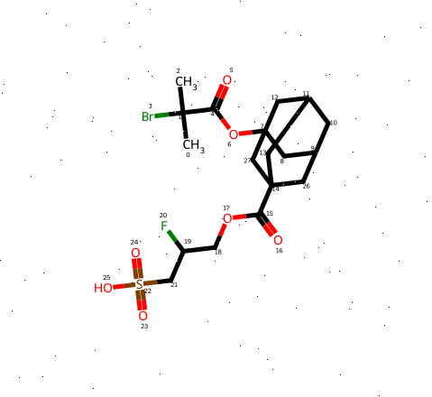 CC(C)(Br)C(=O)OC12CC3CC(C1)CC(C(=O)OCC(F)CS(=O)(=O)O)(C3)C2